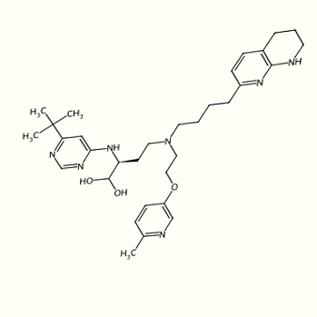 Cc1ccc(OCCN(CCCCc2ccc3c(n2)NCCC3)CC[C@H](Nc2cc(C(C)(C)C)ncn2)C(O)O)cn1